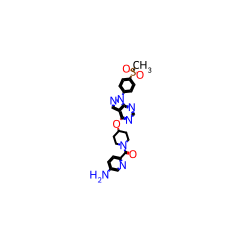 CS(=O)(=O)c1ccc(-n2ncc3c(OC4CCN(C(=O)c5ccc(N)cn5)CC4)ncnc32)cc1